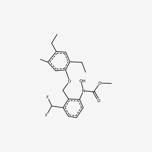 CCc1cc(CC)c(OCc2c(C(F)F)cccc2N(O)C(=O)OC)cc1C